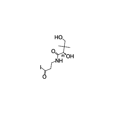 CC(C)(CO)[C@@H](O)C(=O)NCCC(=O)I